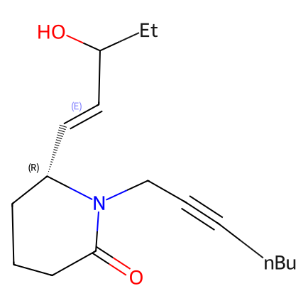 CCCCC#CCN1C(=O)CCC[C@@H]1/C=C/C(O)CC